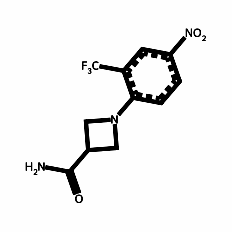 NC(=O)C1CN(c2ccc([N+](=O)[O-])cc2C(F)(F)F)C1